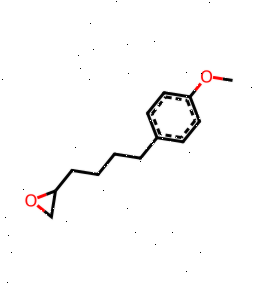 COc1ccc(CCCCC2CO2)cc1